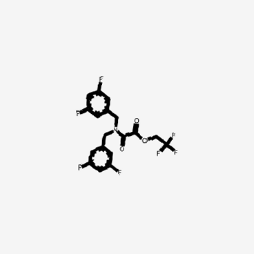 O=C(OCC(F)(F)F)C(=O)N(Cc1cc(F)cc(F)c1)Cc1cc(F)cc(F)c1